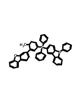 CC1CC=C(S(c2ccccc2)(c2ccccc2)c2ccc3c(c2)c2ccccc2n3-c2ccccc2)C=C1c1ccc2c(c1)oc1ccccc12